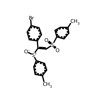 Cc1ccc([S+]([O-])C(=CS(=O)(=O)c2ccc(C)cc2)c2ccc(Br)cc2)cc1